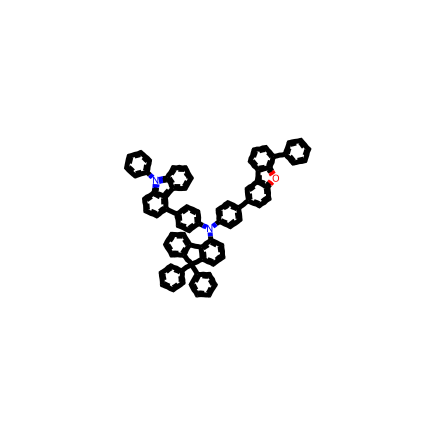 c1ccc(-c2cccc3c2oc2ccc(-c4ccc(N(c5ccc(-c6cccc7c6c6ccccc6n7-c6ccccc6)cc5)c5cccc6c5-c5ccccc5C6(c5ccccc5)c5ccccc5)cc4)cc23)cc1